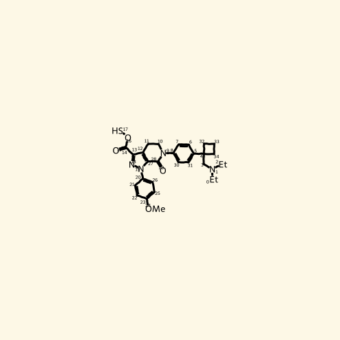 CCN(CC)CC1(c2ccc(N3CCc4c(C(=O)OS)nn(-c5ccc(OC)cc5)c4C3=O)cc2)CCC1